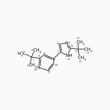 CC(C)(C)c1cc(-c2cnc(C(C)(C)C)[nH]2)ccn1